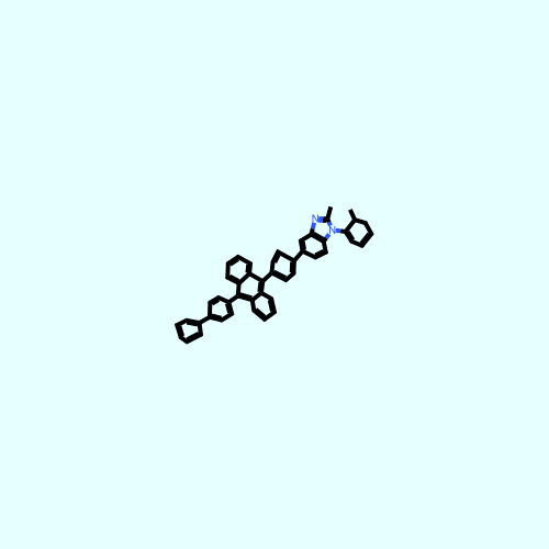 Cc1nc2cc(-c3ccc(-c4c5ccccc5c(-c5ccc(-c6ccccc6)cc5)c5ccccc45)cc3)ccc2n1C1=CC=CCC1C